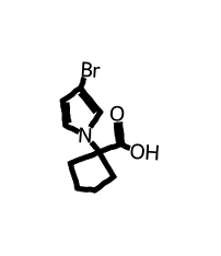 O=C(O)C1(n2ccc(Br)c2)CCCC1